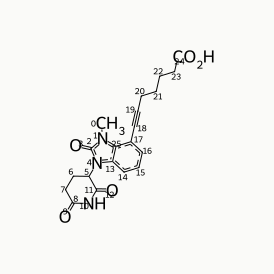 Cn1c(=O)n(C2CCC(=O)NC2=O)c2cccc(C#CCCCCC(=O)O)c21